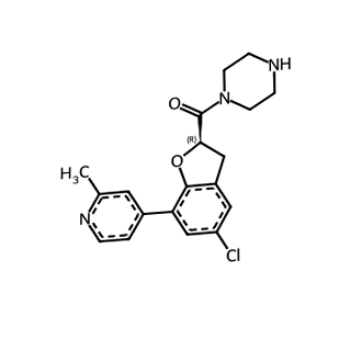 Cc1cc(-c2cc(Cl)cc3c2O[C@@H](C(=O)N2CCNCC2)C3)ccn1